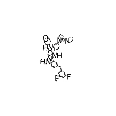 O=C(Nc1n[nH]c2ccc(Cc3cc(F)cc(F)c3)cc12)c1ccc(N2CCC[C@@H]2CN2CCCC2)cc1NC1CCOCC1